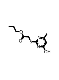 CCCOC(=O)CSc1nc(C)cc(O)n1